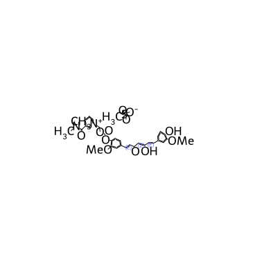 COc1cc(/C=C/C(O)=C/C(=O)/C=C/c2ccc(OC(=O)OC[n+]3cccc(C(=O)N(C)C)c3)c(OC)c2)ccc1O.CS(=O)(=O)[O-]